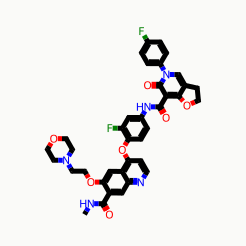 CNC(=O)c1cc2nccc(Oc3ccc(NC(=O)c4c5c(cn(-c6ccc(F)cc6)c4=O)CCO5)cc3F)c2cc1OCCN1CCOCC1